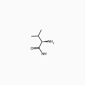 CC(C)[C@@H](N)C([NH])=O